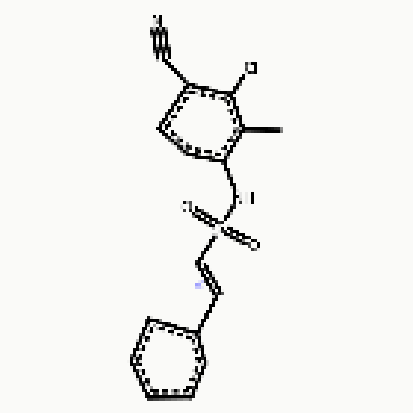 Cc1c(NS(=O)(=O)/C=C/c2ccccc2)ccc(C#N)c1Cl